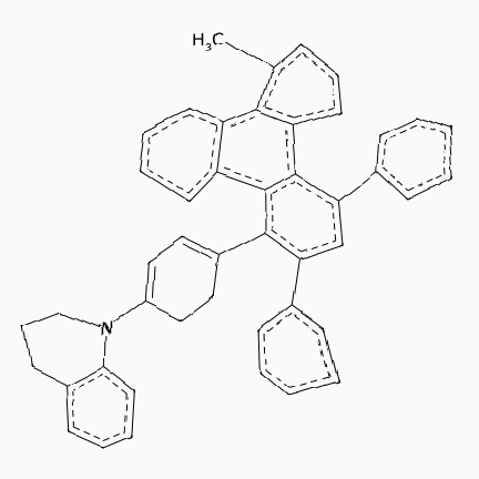 Cc1cccc2c1c1ccccc1c1c(C3=CC=C(N4CCCc5ccccc54)CC3)c(-c3ccccc3)cc(-c3ccccc3)c21